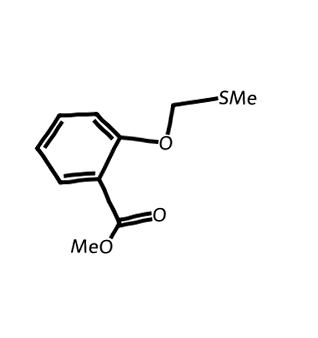 COC(=O)c1ccccc1OCSC